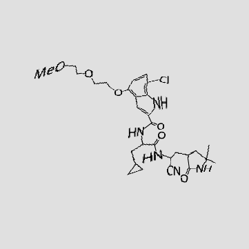 COCCOCCOc1ccc(Cl)c2[nH]c(C(=O)NC(CC3CC3)C(=O)NC(C#N)CC3CC(C)(C)NC3=O)cc12